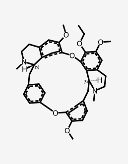 CCOc1c(OC)cc2c3c1Oc1cc4c(cc1OC)CCN(C)[C@H]4Cc1ccc(cc1)Oc1cc(ccc1OC)C[C@@H]3N(C)CC2